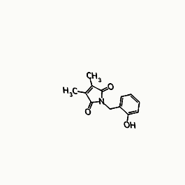 CC1=C(C)C(=O)N(Cc2ccccc2O)C1=O